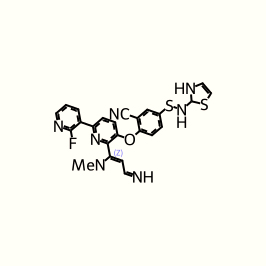 CN/C(=C\C=N)c1nc(-c2cccnc2F)ccc1Oc1ccc(SNC2NC=CS2)cc1C#N